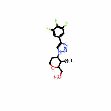 O=NC1C(CO)OCCC1n1cc(-c2cc(F)c(F)c(F)c2)nn1